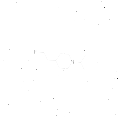 CC(C)N1CCC(CCF)CC1